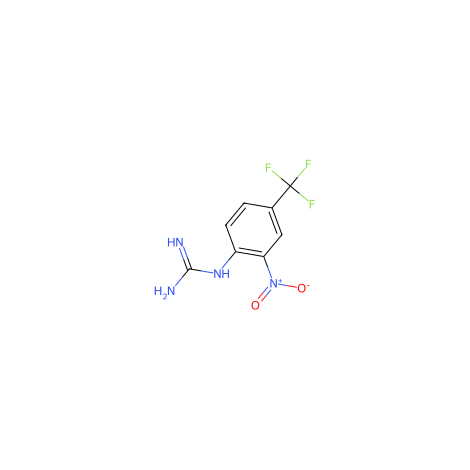 N=C(N)Nc1ccc(C(F)(F)F)cc1[N+](=O)[O-]